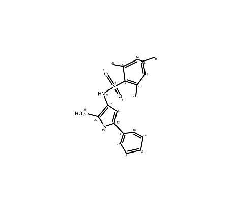 Cc1cc(C)c(S(=O)(=O)Nc2cc(-c3ccccc3)sc2C(=O)O)c(C)c1